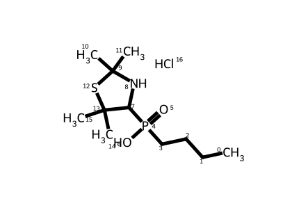 CCCCP(=O)(O)C1NC(C)(C)SC1(C)C.Cl